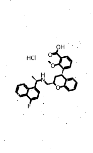 COc1c(C(=O)O)cccc1[C@@H]1C[C@H](CN[C@H](C)c2ccc(F)c3ccccc23)Oc2ccccc21.Cl